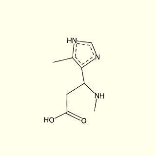 CNC(CC(=O)O)c1nc[nH]c1C